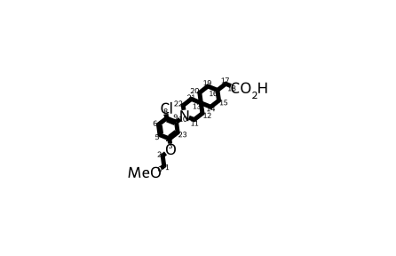 COCCOc1ccc(Cl)c(N2CCC3(CCC(CC(=O)O)CC3)CC2)c1